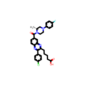 C[C@@H]1CN(c2ccc(F)cc2)CCN1C(=O)c1ccc2nc(-c3ccc(Cl)cc3)c(CCCCC(=O)O)nc2c1